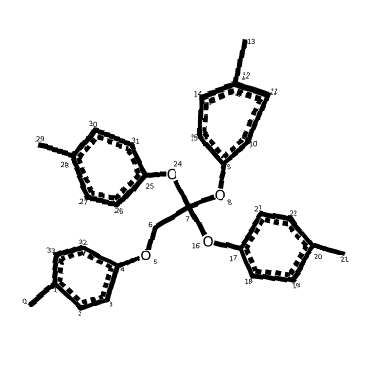 Cc1ccc(OCC(Oc2ccc(C)cc2)(Oc2ccc(C)cc2)Oc2ccc(C)cc2)cc1